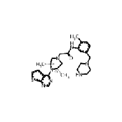 Cc1ccc(CN2CCNCC2)cc1NC(=O)CN1C[C@@H](C)N(c2ncnc3sccc23)[C@@H](C)C1